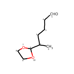 CC(CCCC=O)C1OCCO1